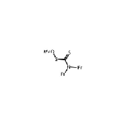 CCN(C(=S)SOC)C(C)C